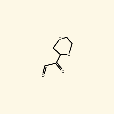 O=[C]C(=O)C1COCCO1